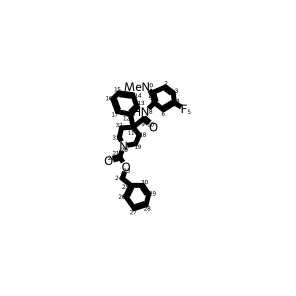 CNc1ccc(F)cc1NC(=O)C1(c2ccccc2)CCN(C(=O)OCc2ccccc2)CC1